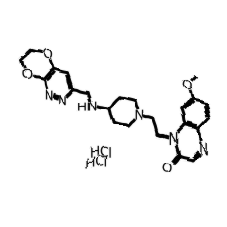 COc1ccc2ncc(=O)n(CCN3CCC(NCc4cc5c(nn4)OCCO5)CC3)c2c1.Cl.Cl